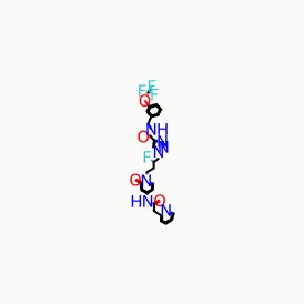 O=C(Cc1ccccn1)Nc1ccn(CCC(F)Cn2cc(C(=O)NCc3cccc(OC(F)(F)F)c3)nn2)c(=O)c1